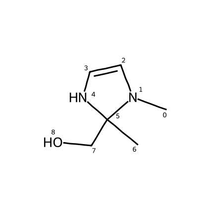 CN1C=CNC1(C)CO